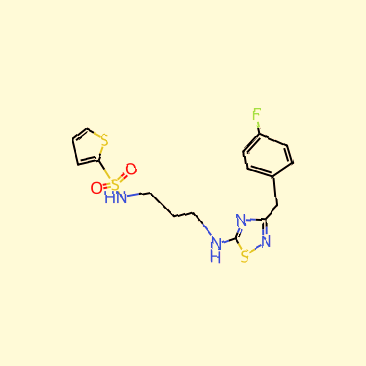 O=S(=O)(NCCCNc1nc(Cc2ccc(F)cc2)ns1)c1cccs1